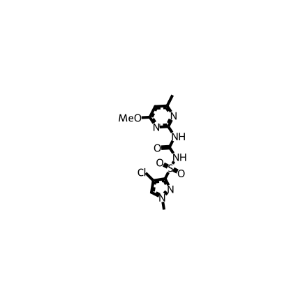 COc1cc(C)nc(NC(=O)NS(=O)(=O)c2nn(C)cc2Cl)n1